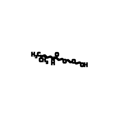 CC(C)/C=C/CNC(=O)CCOCCOCCO